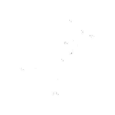 CO/N=C(\C(=O)NC1C(=O)N2C(C(=O)OCOC(=O)C(C)(C)C)=C(COC(N)=O)CS[C@@H]12)c1cscn1